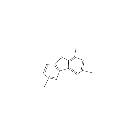 Cc1ccc2sc3c(C)cc(C)cc3c2c1